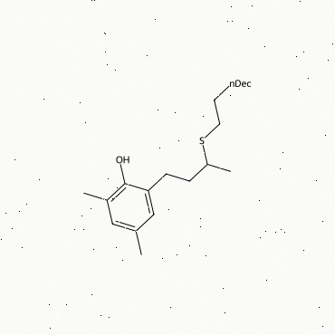 CCCCCCCCCCCCSC(C)CCc1cc(C)cc(C)c1O